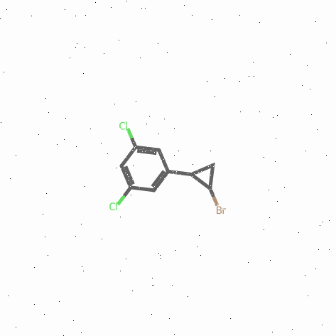 Clc1cc(Cl)cc(C2CC2Br)c1